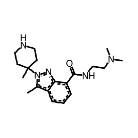 Cc1c2cccc(C(=O)NCCN(C)C)c2nn1C1(C)CCNCC1